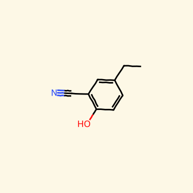 CCc1ccc(O)c(C#N)c1